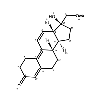 CC[C@]12C=CC3=C4CCC(=O)C=C4CC[C@H]3[C@@H]1CC[C@@]2(O)COC